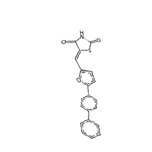 O=C1NC(=O)C(=Cc2ccc(-c3ccc(-c4ccccc4)cc3)o2)S1